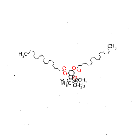 CC/C=C\C/C=C\C/C=C\C/C=C\C/C=C\C/C=C\CCC(=O)Oc1cc(OC(=O)CC/C=C\C/C=C\C/C=C\C/C=C\C/C=C\C/C=C\CC)cc(O[Si](C(C)C)(C(C)C)C(C)C)c1